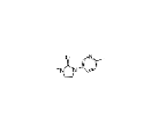 Cc1ccc(N2CCN(C)C2=O)cn1